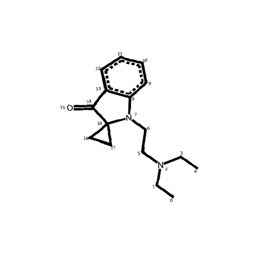 CCN(CC)CCN1c2ccccc2C(=O)C12CC2